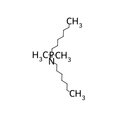 CCCCCCCN=P(C)(C)CCCCCCC